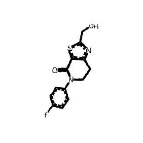 O=C1c2sc(CO)nc2CCN1c1ccc(F)cc1